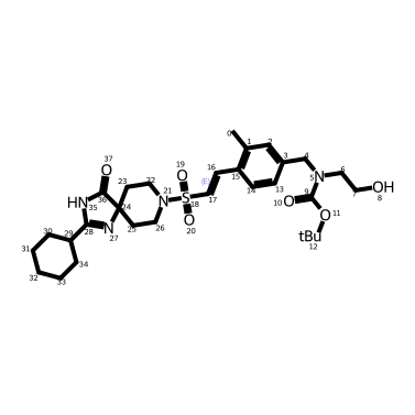 Cc1cc(CN(CCO)C(=O)OC(C)(C)C)ccc1/C=C/S(=O)(=O)N1CCC2(CC1)N=C(C1CCCCC1)NC2=O